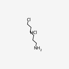 Cl.NCCCCCCCl